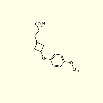 O=C(O)CCN1CC(Oc2ccc(OC(F)(F)F)cc2)C1